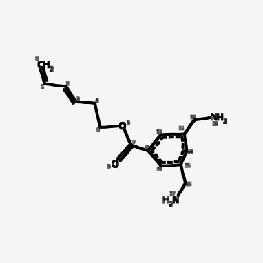 C=C/C=C/CCOC(=O)c1cc(CN)cc(CN)c1